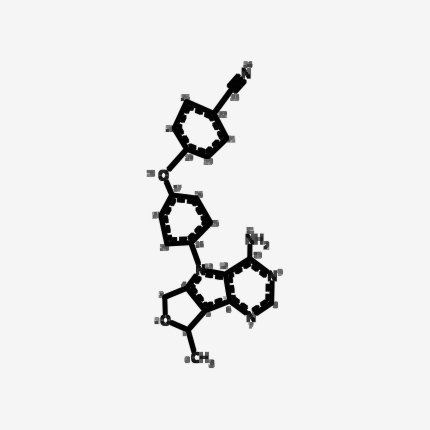 CC1OCc2c1c1ncnc(N)c1n2-c1ccc(Oc2ccc(C#N)cc2)cc1